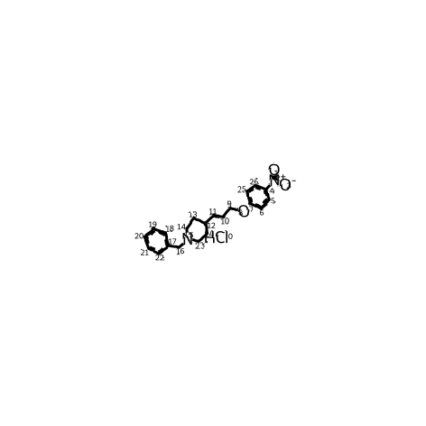 Cl.O=[N+]([O-])c1ccc(OCCCC2CCN(Cc3ccccc3)CC2)cc1